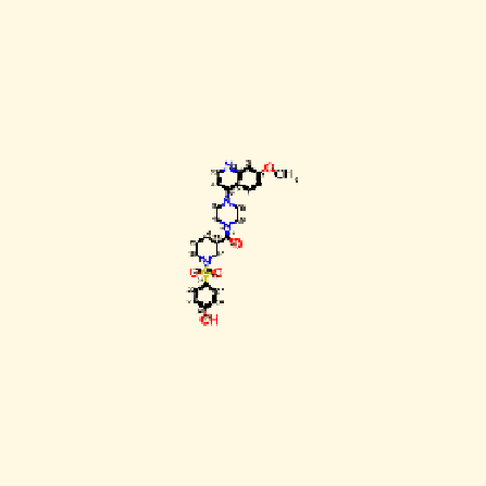 COc1ccc2c(N3CCN(C(=O)C4CCCN(S(=O)(=O)c5ccc(O)cc5)C4)CC3)ccnc2c1